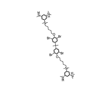 C[SiH](C)c1cc([SiH](C)C)cc([Si](C)(C)CCCCCOc2c(Br)cc(C(C)(C)c3cc(Br)c(OCCCCC[Si](C)(C)c4cc([SiH](C)C)cc([SiH](C)C)c4)c(Br)c3)cc2Br)c1